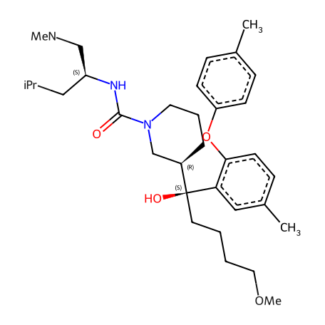 CNC[C@H](CC(C)C)NC(=O)N1CCC[C@@H]([C@@](O)(CCCCOC)c2cc(C)ccc2Oc2ccc(C)cc2)C1